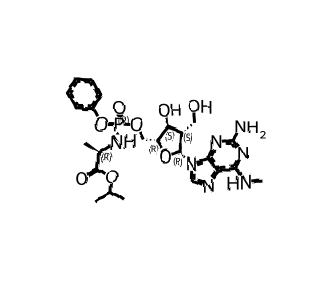 CNc1nc(N)nc2c1ncn2[C@@H]1O[C@H](CO[P@](=O)(N[C@H](C)C(=O)OC(C)C)Oc2ccccc2)[C@@H](O)[C@@H]1CO